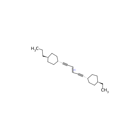 CCC[C@H]1CC[C@H](C#C/C=C/C#C[C@H]2CC[C@H](CC)CC2)CC1